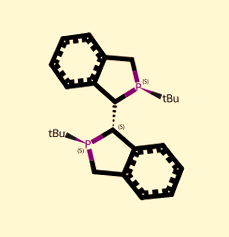 CC(C)(C)[P@]1Cc2ccccc2C1[C@@H]1c2ccccc2C[P@@]1C(C)(C)C